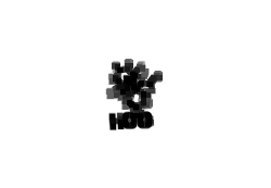 C=CCC1(N2C(C)(C)CCCC2(C)C)CCC(C(=O)O)CC1